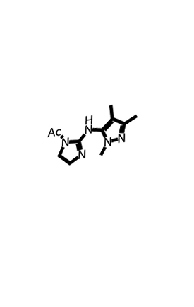 CC(=O)N1CCN=C1Nc1c(C)c(C)nn1C